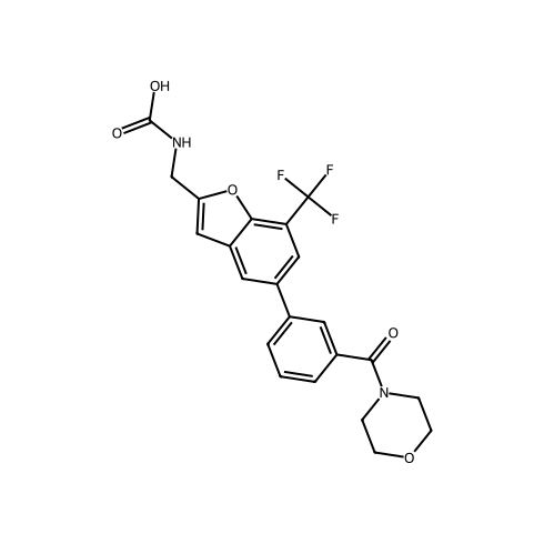 O=C(O)NCc1cc2cc(-c3cccc(C(=O)N4CCOCC4)c3)cc(C(F)(F)F)c2o1